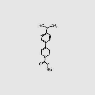 CC(O)c1ccc(C2=CCN(C(=O)OC(C)(C)C)CC2)cn1